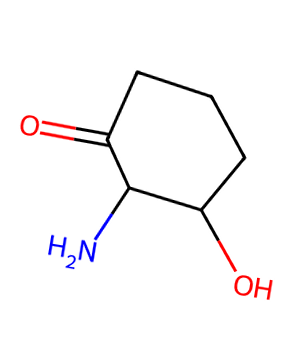 NC1C(=O)CCCC1O